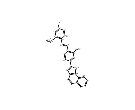 CCCc1cc(-c2cc3ccc4ccccc4c3o2)ccc1/C=C/c1ccc(I)cc1C(=O)O